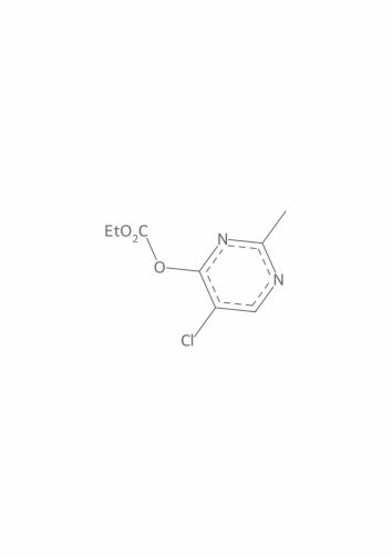 CCOC(=O)Oc1nc(C)ncc1Cl